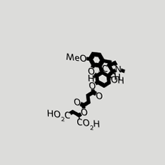 COc1ccc2c3c1O[C@H]1C(OC(=O)CCC(=O)O[C@@H](CC(=O)O)C(=O)O)=CC[C@@]4(O)[C@@H]5N(C)CC5(C2)C[C@]314